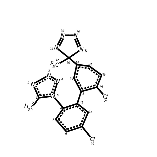 Cc1nnnn1-c1ccc(Cl)cc1-c1cc(C2(C(F)(F)F)N=NN=N2)[c]cc1Cl